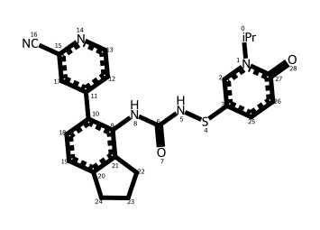 CC(C)n1cc(SNC(=O)Nc2c(-c3ccnc(C#N)c3)ccc3c2CCC3)ccc1=O